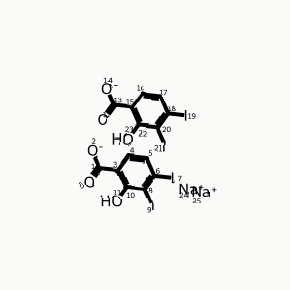 O=C([O-])c1ccc(I)c(I)c1O.O=C([O-])c1ccc(I)c(I)c1O.[Na+].[Na+]